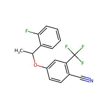 CC(Oc1ccc(C#N)c(C(F)(F)F)c1)c1ccccc1F